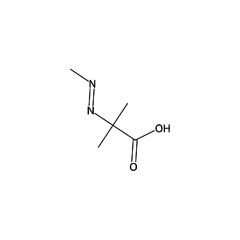 C/N=N/C(C)(C)C(=O)O